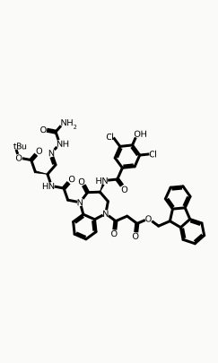 CC(C)(C)OC(=O)C[C@@H](/C=N/NC(N)=O)NC(=O)CN1C(=O)[C@@H](NC(=O)c2cc(Cl)c(O)c(Cl)c2)CN(C(=O)CC(=O)OCC2c3ccccc3-c3ccccc32)c2ccccc21